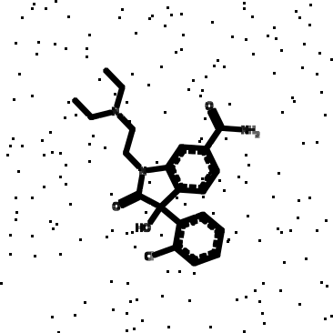 CCN(CC)CCN1C(=O)C(O)(c2ccccc2Cl)c2ccc(C(N)=O)cc21